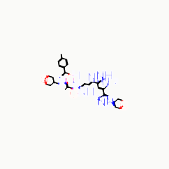 C/C(=C\N(/C=C(\C=O)c1ccc(C)cc1)CC1CCOCC1)C(=O)N/C(N)=C/C=C(\N)c1cc(/C(C=N)=C/NC2CCOCC2)cnc1N